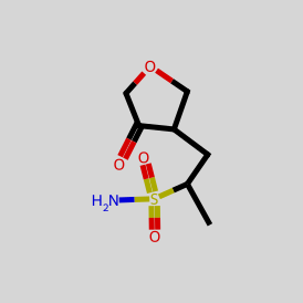 CC(CC1COCC1=O)S(N)(=O)=O